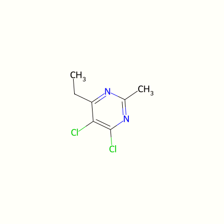 CCc1nc(C)nc(Cl)c1Cl